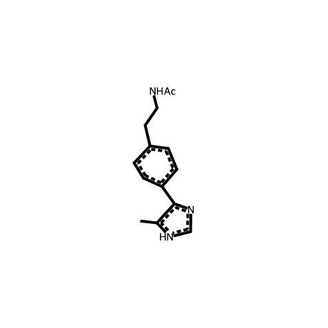 CC(=O)NCCc1ccc(-c2nc[nH]c2C)cc1